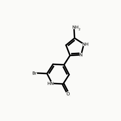 Nc1cc(-c2cc(Br)[nH]c(=O)c2)n[nH]1